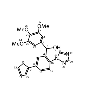 COc1cc(C(O)c2cc(C3=CC=CC3)ccc2-n2cncn2)cc(OC)c1OC